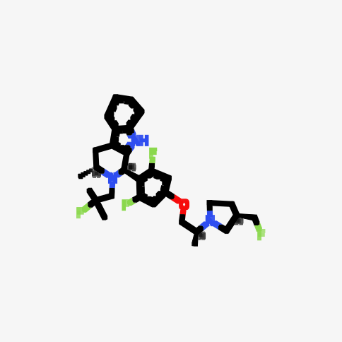 C[C@@H]1Cc2c([nH]c3ccccc23)[C@@H](c2c(F)cc(OC[C@H](C)N3CC[C@@H](CF)C3)cc2F)N1CC(C)(C)F